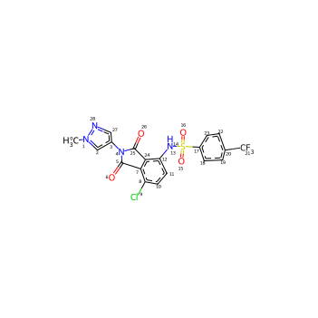 Cn1cc(N2C(=O)c3c(Cl)ccc(NS(=O)(=O)c4ccc(C(F)(F)F)cc4)c3C2=O)cn1